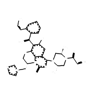 C=CC(=O)N1C[C@H](C)N(c2nc(=O)n3c4c(c(C(=C)c5ccccc5/C=C\C)c(Cl)cc24)OC[C@H]3Cn2ccnc2)C[C@H]1C